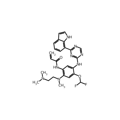 C=CC(=O)Nc1cc(Nc2ncnc(-c3cccc4cc[nH]c34)n2)c(OC(F)F)cc1N(C)CCN(C)C